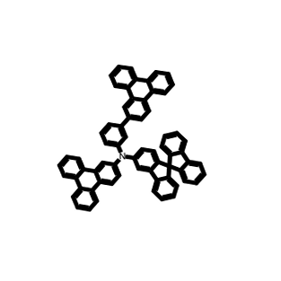 c1cc(-c2ccc3c4ccccc4c4ccccc4c3c2)cc(N(c2ccc3c(c2)-c2ccccc2C32c3ccccc3-c3ccccc32)c2ccc3c4ccccc4c4ccccc4c3c2)c1